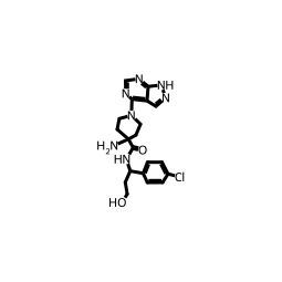 NC1(C(=O)NC(CCO)c2ccc(Cl)cc2)CCN(c2ncnc3[nH]ncc23)CC1